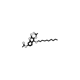 CCCCCCCCCCOc1c(OC(C)=O)c(=O)oc2cc(OC(C)=O)ccc12